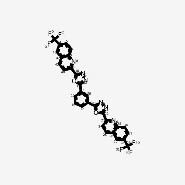 FC(F)(F)c1ccc2nc(-c3nnc(-c4cccc(-c5nnc(-c6ccc7cc(C(F)(F)F)ccc7n6)o5)c4)o3)ccc2c1